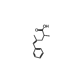 CC(=Cc1ccccc1)CC(C)C(=O)O